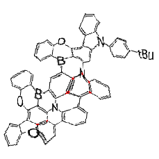 CC(C)(C)c1ccc(-n2c3ccccc3c3c4c5c(cc32)N(c2ccccc2)c2cc3c(cc2B5c2ccccc2O4)B2c4ccccc4Oc4c2c(cc2oc5ccccc5c42)N3c2c(-c3ccccc3)cccc2-c2ccccc2)cc1